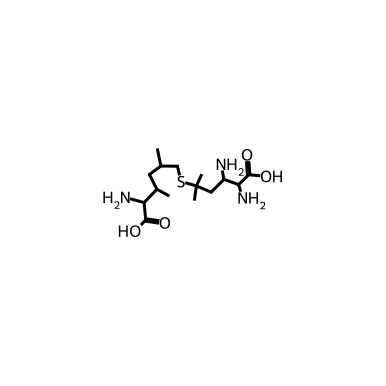 CC(CSC(C)(C)CC(N)C(N)C(=O)O)CC(C)C(N)C(=O)O